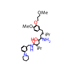 COCCCOc1cc(C[C@@H](C[C@H](N)[C@@H](O)C[C@H](C(=O)NCc2cccc(N3CCCCC3)c2)C(C)C)C(C)C)ccc1OC